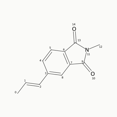 C/C=C/c1ccc2c(c1)C(=O)N(C)C2=O